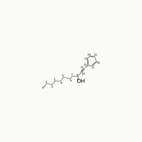 CCCCCCCCC(O)C#Cc1ccccc1